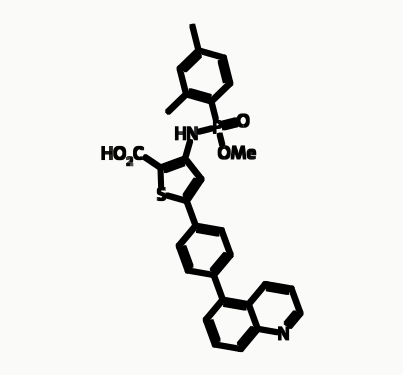 COP(=O)(Nc1cc(-c2ccc(-c3cccc4ncccc34)cc2)sc1C(=O)O)c1ccc(C)cc1C